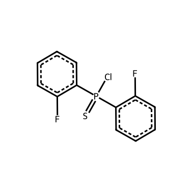 Fc1ccccc1P(=S)(Cl)c1ccccc1F